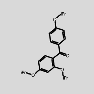 CC(C)Oc1ccc(C(=O)c2ccc(OC(C)C)cc2OC(C)C)cc1